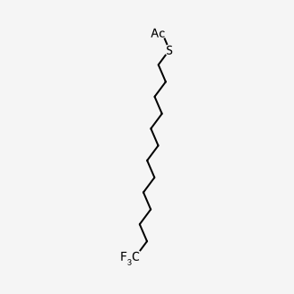 CC(=O)SCCCCCCCCCCCCC(F)(F)F